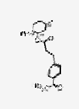 CC(C)[C@@H]1CC[C@@H](C)C[C@H]1OC(=O)CCc1ccc(C(=O)C(=O)O)cc1